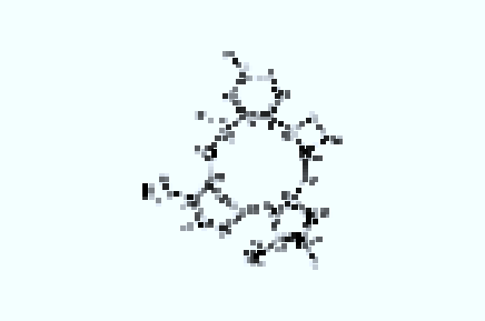 Cc1ccc2c(c1)[C@@H](C)Oc1cc(cnc1N)-c1c(nn(C)c1C#N)CN1CCC21